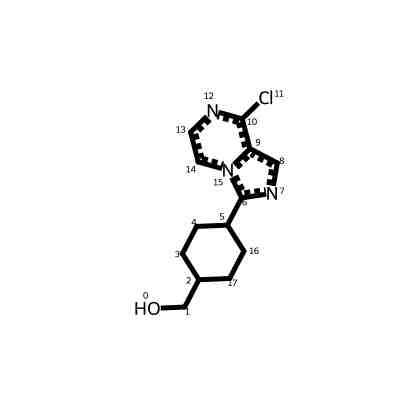 OCC1CCC(c2ncc3c(Cl)nccn23)CC1